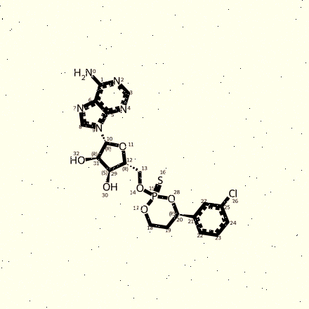 Nc1ncnc2c1ncn2[C@@H]1O[C@H](COP2(=S)OCC[C@H](c3cccc(Cl)c3)O2)[C@@H](O)[C@H]1O